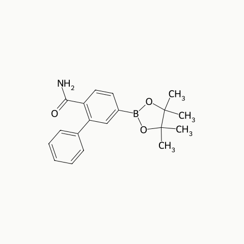 CC1(C)OB(c2ccc(C(N)=O)c(-c3ccccc3)c2)OC1(C)C